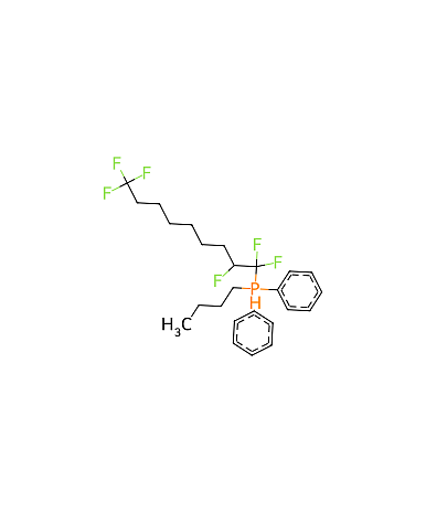 CCCC[PH](c1ccccc1)(c1ccccc1)C(F)(F)C(F)CCCCCCC(F)(F)F